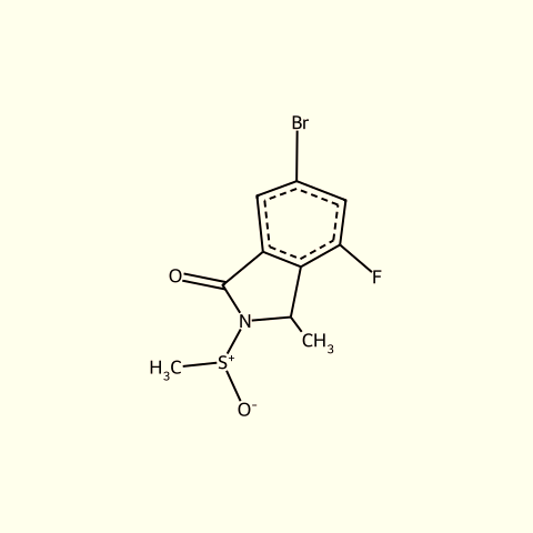 CC1c2c(F)cc(Br)cc2C(=O)N1[S+](C)[O-]